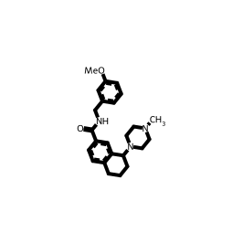 COc1cccc(CNC(=O)c2ccc3c(c2)C(N2CCN(C)CC2)CCC3)c1